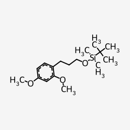 COc1ccc(CCCO[Si](C)(C)C(C)(C)C)c(OC)c1